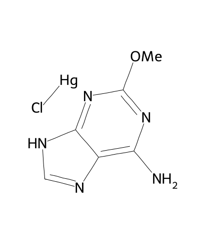 COc1nc(N)c2nc[nH]c2n1.[Cl][Hg]